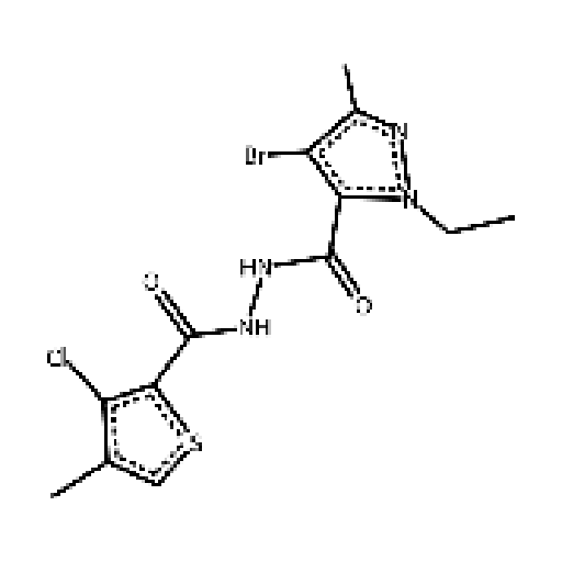 CCn1nc(C)c(Br)c1C(=O)NNC(=O)c1scc(C)c1Cl